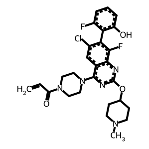 C=CC(=O)N1CCN(c2nc(OC3CCN(C)CC3)nc3c(F)c(-c4c(O)cccc4F)c(Cl)cc23)CC1